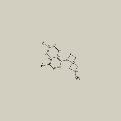 CC(C)c1cnc(N2CCC23CN(C)C3)c2cnc(Cl)cc12